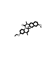 CCOc1ccc2c(c1)C(C)=CC(C)(C)N2C(=O)C(C)c1ccc2cc(OC)ccc2c1